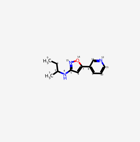 CCC(C)Nc1cc(-c2cccnc2)on1